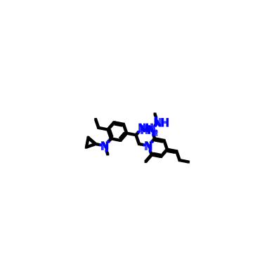 CC/C=C1\C=C(C)N(CC(N)c2ccc(CC)c(N(C)C3CC3)c2)C(NNC)=C1